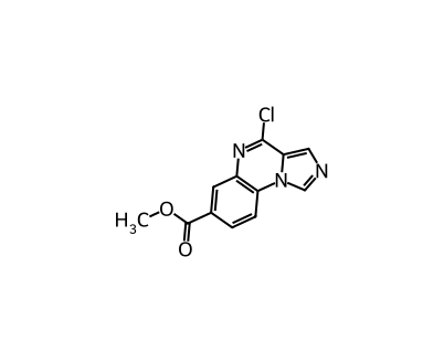 COC(=O)c1ccc2c(c1)nc(Cl)c1cncn12